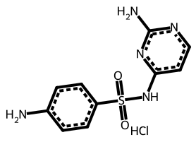 Cl.Nc1ccc(S(=O)(=O)Nc2ccnc(N)n2)cc1